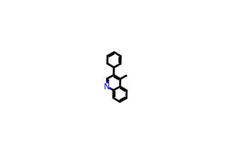 Cc1c(C2C=CC=CC2)cnc2ccccc12